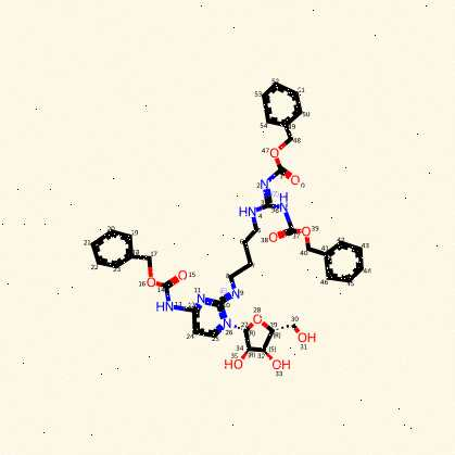 O=C(/N=C(/NCCCC/N=c1\nc(NC(=O)OCc2ccccc2)ccn1[C@@H]1O[C@H](CO)[C@@H](O)[C@H]1O)NC(=O)OCc1ccccc1)OCc1ccccc1